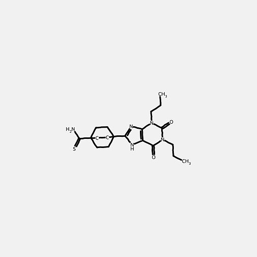 CCCn1c(=O)c2[nH]c(C34CCC(C(N)=S)(CC3)CC4)nc2n(CCC)c1=O